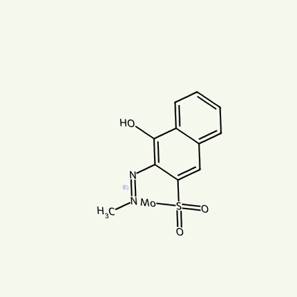 C/N=N/c1c([S](=O)(=O)[Mo])cc2ccccc2c1O